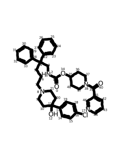 O=C(NCC(CCCN1CCC(O)(c2ccc(Cl)cc2)CC1)(c1ccccc1)c1ccccc1)OC1CCN(C(=O)c2cccnc2)CC1